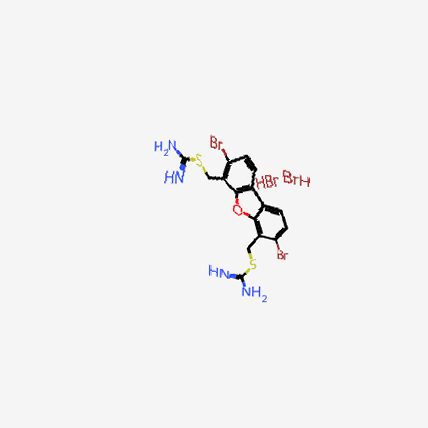 Br.Br.N=C(N)SCc1c(Br)ccc2c1oc1c(CSC(=N)N)c(Br)ccc12